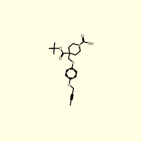 CC#CCOc1ccc(SCC2(C(=O)OC(C)(C)C)CCN(C(=O)O)CC2)cc1